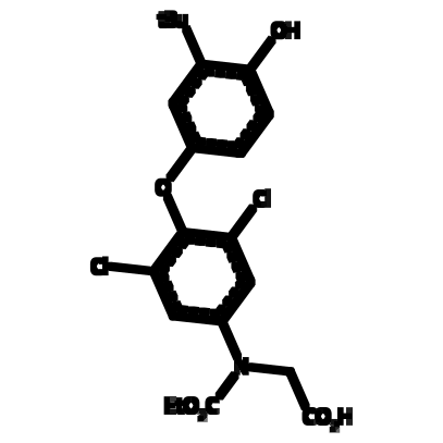 CCOC(=O)N(CC(=O)O)c1cc(Cl)c(Oc2ccc(O)c(C(C)(C)C)c2)c(Cl)c1